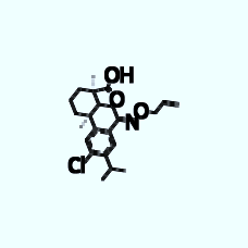 C=CCO/N=C1\CC2[C@](C)(C(=O)O)CCC[C@]2(C)c2cc(Cl)c(C(C)C)cc21